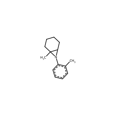 Cc1ccccc1N1C2CCCCC21C